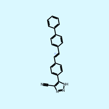 N#Cc1nn[nH]c1-c1ccc(/C=C/c2ccc(-c3ccccc3)cc2)cc1